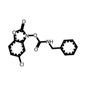 O=C(NCc1ccccc1)On1c(=O)oc2ccc(Cl)cc21